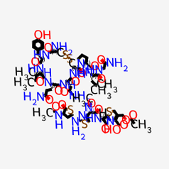 CC(=O)NC1CCSC1=O.CC[C@H](C)[C@@H]1NC(=O)[C@H](Cc2ccc(O)cc2)NC(=O)[C@@H](N)CSSC[C@@H](C(=O)N2CCC[C@H]2C(=O)N[C@@H](CC(C)C)C(=O)NCC(N)=O)NC(=O)[C@H](CC(N)=O)NC(=O)[C@H](CCC(N)=O)NC1=O.CO/N=C(\C(=O)N[C@@H]1C(=O)N2C(C(=O)O)=C(COC(C)=O)CS[C@H]12)c1csc(N)n1